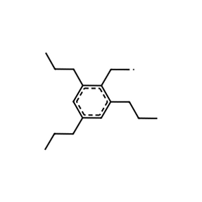 [CH2]Cc1c(CCC)cc(CCC)cc1CCC